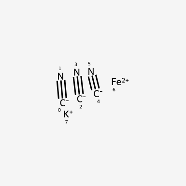 [C-]#N.[C-]#N.[C-]#N.[Fe+2].[K+]